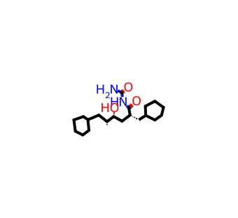 NC(=O)NC(=O)[C@H](CC1CCCCC1)C[C@@H](O)[CH]CC1CCCCC1